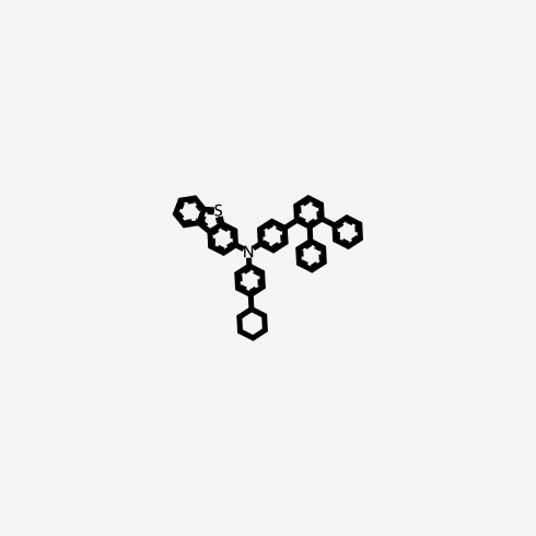 c1ccc(-c2cccc(-c3ccc(N(c4ccc(C5CCCCC5)cc4)c4ccc5c(c4)sc4ccccc45)cc3)c2-c2ccccc2)cc1